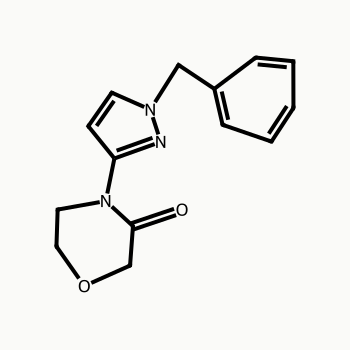 O=C1COCCN1c1ccn(Cc2ccccc2)n1